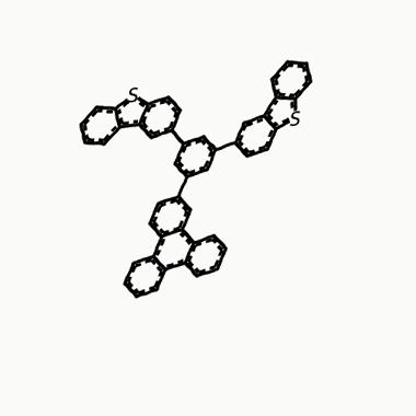 c1ccc2c(c1)sc1ccc(-c3cc(-c4ccc5sc6ccccc6c5c4)cc(-c4ccc5c6ccccc6c6ccccc6c5c4)c3)cc12